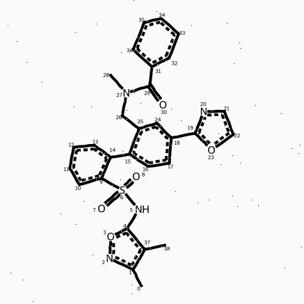 Cc1noc(NS(=O)(=O)c2ccccc2-c2ccc(-c3ncco3)cc2CN(C)C(=O)c2ccccc2)c1C